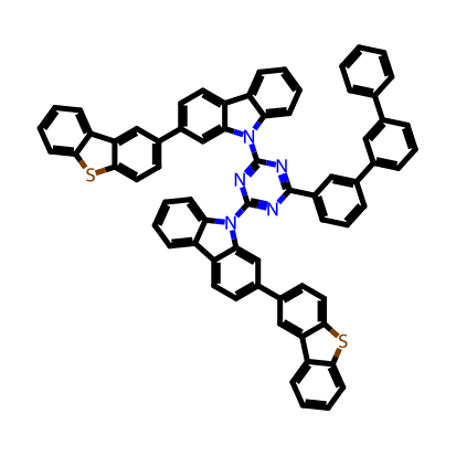 c1ccc(-c2cccc(-c3cccc(-c4nc(-n5c6ccccc6c6ccc(-c7ccc8sc9ccccc9c8c7)cc65)nc(-n5c6ccccc6c6ccc(-c7ccc8sc9ccccc9c8c7)cc65)n4)c3)c2)cc1